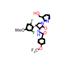 COc1cc(F)c([C@@H]2CN(c3ncccc3CO)C(=O)[C@H]2NC(=O)c2ccc(OC(F)(F)F)cc2)c(F)c1